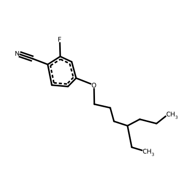 CCCC(CC)CCCOc1ccc(C#N)c(F)c1